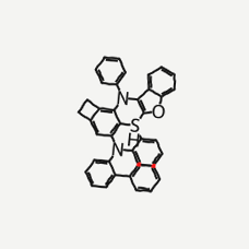 c1ccc(-c2ccccc2N2c3ccccc3[SH]3c4oc5ccccc5c4N(c4ccccc4)c4c5c(cc2c43)CC5)cc1